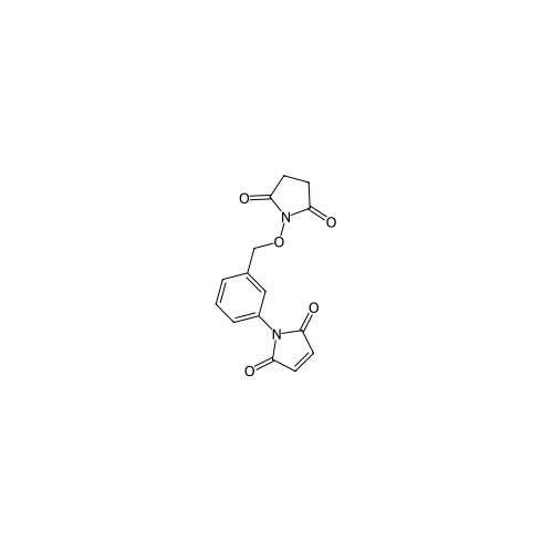 O=C1CCC(=O)N1OCc1cccc(N2C(=O)C=CC2=O)c1